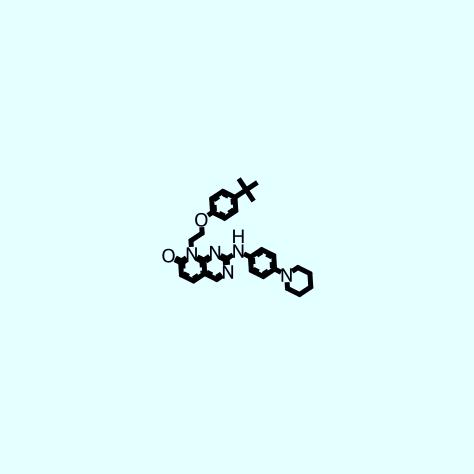 CC(C)(C)c1ccc(OCCn2c(=O)ccc3cnc(Nc4ccc(N5CCCCC5)cc4)nc32)cc1